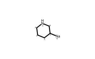 [Na][CH]1CCCNC1